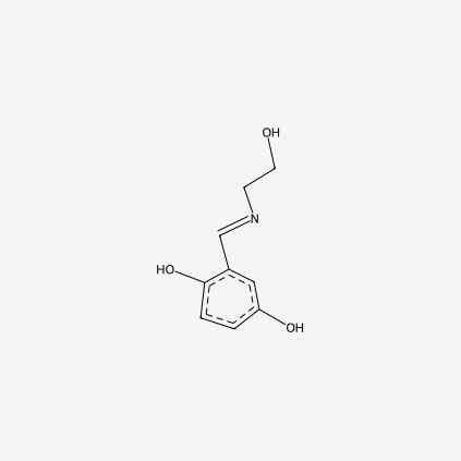 OCCN=Cc1cc(O)ccc1O